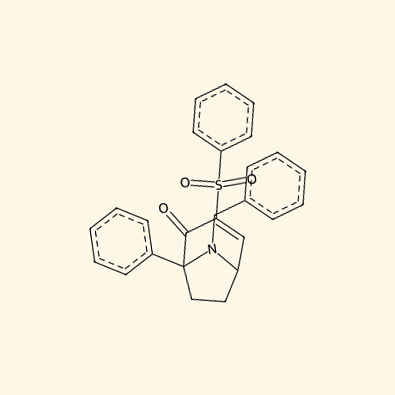 O=C1C(S(=O)(=O)c2ccccc2)=CC2CCC1(c1ccccc1)N2Cc1ccccc1